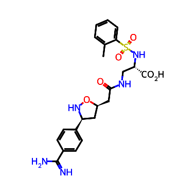 Cc1ccccc1S(=O)(=O)N[C@@H](CNC(=O)C[C@H]1C[C@@H](c2ccc(C(=N)N)cc2)NO1)C(=O)O